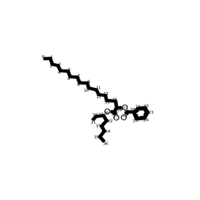 CCCCCCCCCCCCCCCCC(OC(=O)c1ccccc1)C(=O)OC(CC)CCCCC